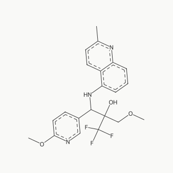 COCC(O)(C(Nc1cccc2nc(C)ccc12)c1ccc(OC)nc1)C(F)(F)F